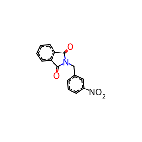 O=C1c2ccccc2C(=O)N1Cc1cccc([N+](=O)[O-])c1